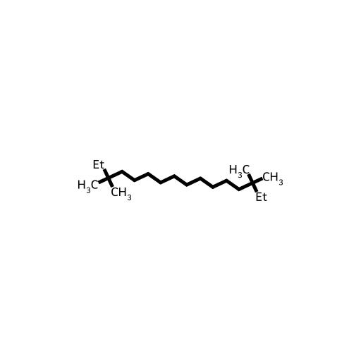 CCC(C)(C)CCCCCCCCCCC(C)(C)CC